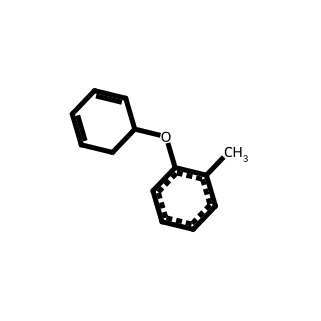 Cc1ccccc1OC1C=CC=CC1